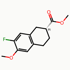 COC(=O)[C@@H]1CCc2cc(OC)c(F)cc2C1